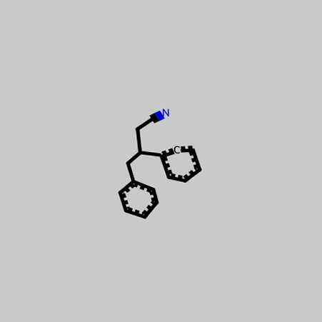 N#CCC(Cc1ccccc1)c1ccccc1